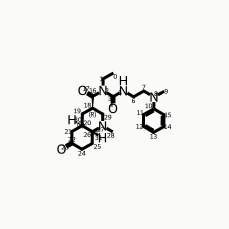 CCN(C(=O)NCCN(C)c1ccccc1)C(=O)[C@@H]1C[C@@H]2CC(=O)CC[C@H]2N(C)C1